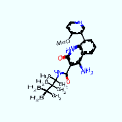 BC(B)(B)C(B)(B)C(B)(B)NC(=O)c1c(N)c2cccc(-c3cnccc3OC)c2[nH]c1=O